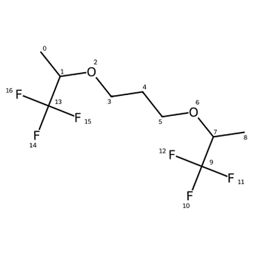 CC(OCCCOC(C)C(F)(F)F)C(F)(F)F